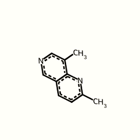 Cc1ccc2cncc(C)c2n1